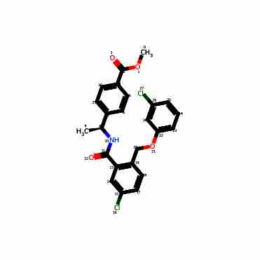 COC(=O)c1ccc([C@H](C)NC(=O)c2cc(Cl)ccc2COc2cccc(Cl)c2)cc1